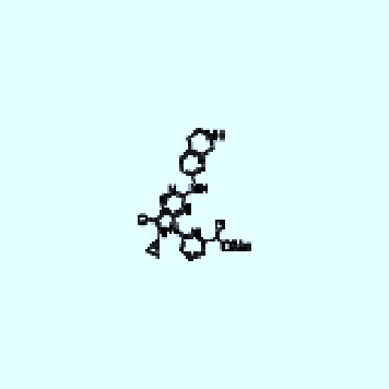 COC(=O)c1cccc(-n2c3nc(Nc4ccc5c(c4)CNCC5)ncc3c(=O)n2C2CC2)n1